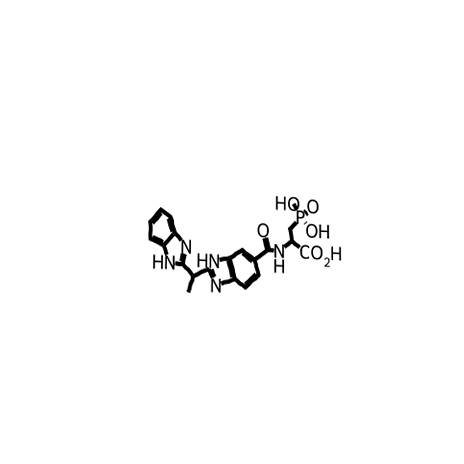 CC(c1nc2ccccc2[nH]1)c1nc2ccc(C(=O)NC(CP(=O)(O)O)C(=O)O)cc2[nH]1